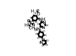 CNS(=O)(=O)c1ccc(OC)c(Nc2cc(Nc3ccc(-n4cccn4)cc3)ncn2)c1